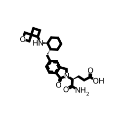 NC(=O)[C@H](CCC(=O)O)N1Cc2cc(C[C@H]3CCCC[C@@H]3NC3CCC34COC4)ccc2C1=O